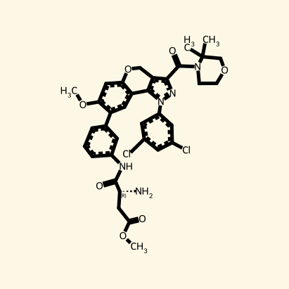 COC(=O)C[C@@H](N)C(=O)Nc1cccc(-c2cc3c(cc2OC)OCc2c(C(=O)N4CCOCC4(C)C)nn(-c4cc(Cl)cc(Cl)c4)c2-3)c1